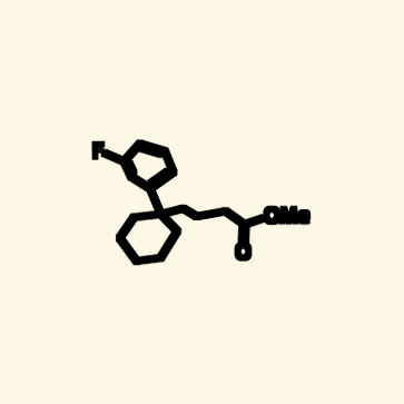 COC(=O)CCCC1(c2cccc(F)c2)CCCCC1